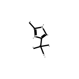 Cc1nc(C(C)(C)I)cs1